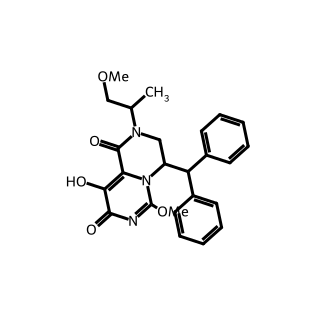 COCC(C)N1CC(C(c2ccccc2)c2ccccc2)n2c(OC)nc(=O)c(O)c2C1=O